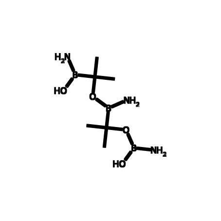 CC(C)(OB(N)C(C)(C)OB(N)O)B(N)O